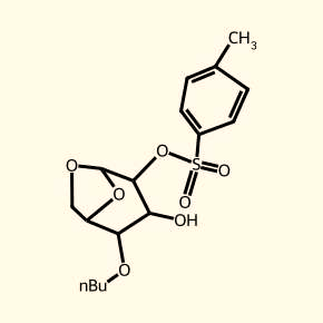 CCCCOC1C2COC(O2)C(OS(=O)(=O)c2ccc(C)cc2)C1O